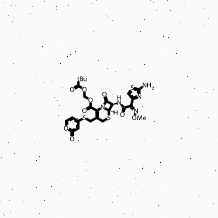 CO/N=C(\C(=O)N[C@@H]1C(=O)N2C(C(=O)OCOC(=O)C(C)(C)C)=C(CSc3ccoc(=O)c3)CS[C@H]12)c1csc(N)n1